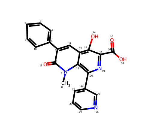 Cn1c(=O)c(-c2ccccc2)cc2c(O)c(C(=O)O)nc(-c3cccnc3)c21